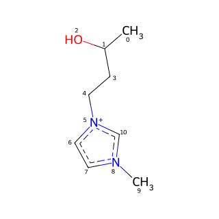 CC(O)CC[n+]1ccn(C)c1